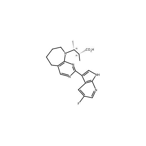 C[C@H]([C@@H](C)C(=O)O)N1CCCCc2cnc(-c3c[nH]c4ncc(F)cc34)nc21